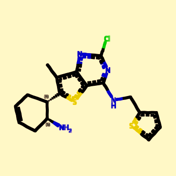 Cc1c([C@H]2CC=CC[C@@H]2N)sc2c(NCc3cccs3)nc(Cl)nc12